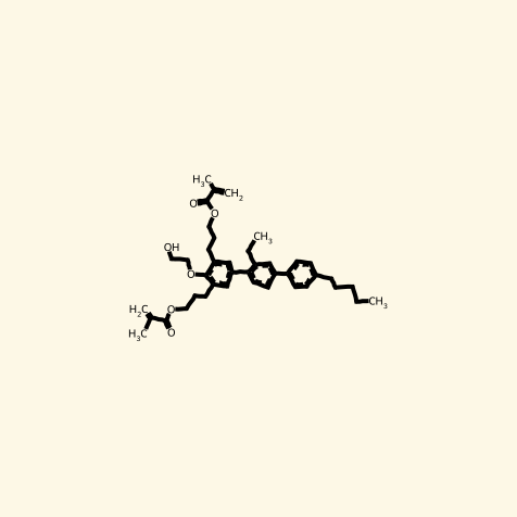 C=C(C)C(=O)OCCCc1cc(-c2ccc(-c3ccc(CCCCC)cc3)cc2CC)cc(CCCOC(=O)C(=C)C)c1OCCO